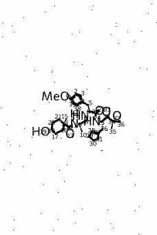 COc1ccc(C[C@H](NC[C@@H](C)NC(=O)[C@]2(C)CC[C@@H](O)CC2)C(=O)N[C@@H](CC2=CCCC2)C(=O)[C@@]2(C)CO2)cc1